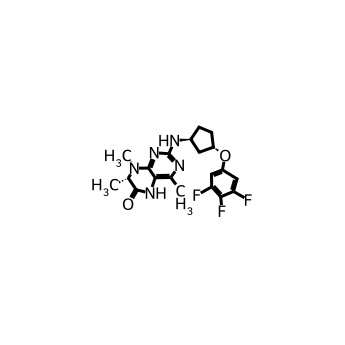 Cc1nc(N[C@H]2CC[C@H](Oc3cc(F)c(F)c(F)c3)C2)nc2c1NC(=O)[C@H](C)N2C